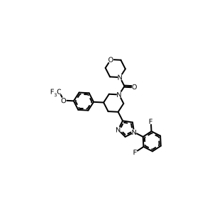 O=C(N1CCOCC1)N1CC(c2ccc(OC(F)(F)F)cc2)CC(c2cn(-c3c(F)cccc3F)cn2)C1